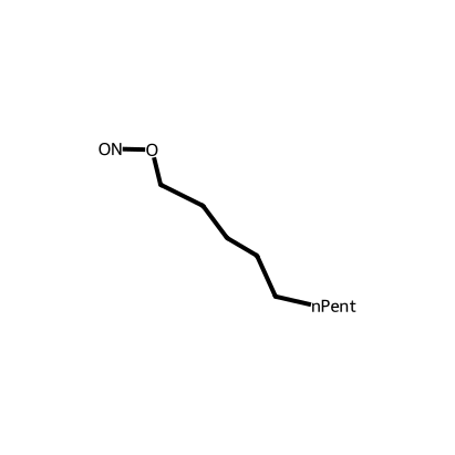 CCCCCCCCCCON=O